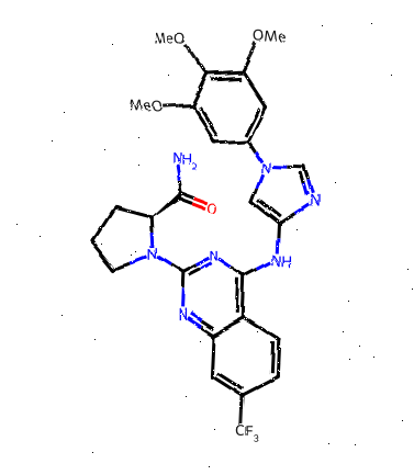 COc1cc(-n2cnc(Nc3nc(N4CCC[C@H]4C(N)=O)nc4cc(C(F)(F)F)ccc34)c2)cc(OC)c1OC